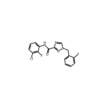 O=C(Nc1cccc(Cl)c1F)c1ncn(Cc2ccccc2F)n1